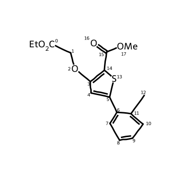 CCOC(=O)COc1cc(-c2ccccc2C)sc1C(=O)OC